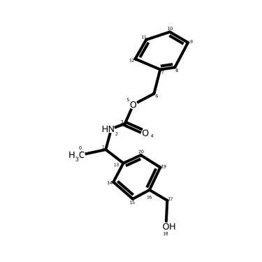 CC(NC(=O)OCc1ccccc1)c1ccc(CO)cc1